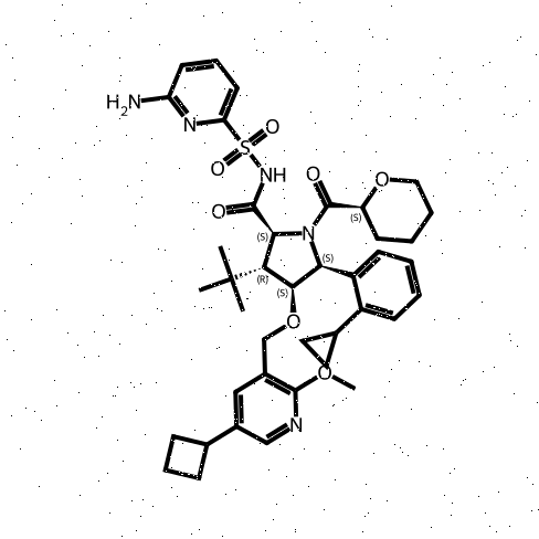 COc1ncc(C2CCC2)cc1CO[C@H]1[C@H](C(C)(C)C)[C@@H](C(=O)NS(=O)(=O)c2cccc(N)n2)N(C(=O)[C@@H]2CCCCO2)[C@H]1c1ccccc1C1CC1